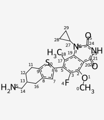 COc1c(F)c(-c2cc3c(s2)CCC(CN)C3)c(C)c2c1c(=O)[nH]c(=O)n2C1CC1